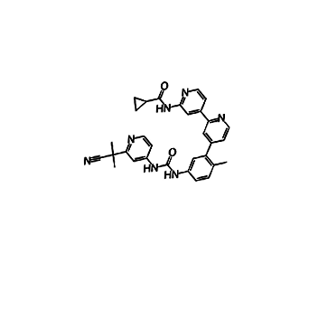 Cc1ccc(NC(=O)Nc2ccnc(C(C)(C)C#N)c2)cc1-c1ccnc(-c2ccnc(NC(=O)C3CC3)c2)c1